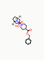 O=C(OCc1ccccc1)C1CCN([C@H]2C[C@H]3CC[C@@H](C2)N3C(=O)O)CC1